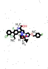 CC(O)c1nc2c(F)c(-c3cccc(Cl)c3Cl)c(CCC#N)cc2c2c1cc([C@H]1C[C@H](OCc3ccc(F)cc3C#N)CN1C(=O)C1(C)CC1)n2[C@H]1[C@H]2CN[C@@H]1C2